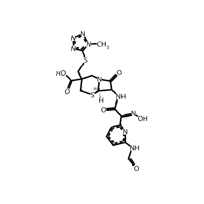 Cn1nnnc1SCC1(C(=O)O)CS[C@@H]2C(NC(=O)C(=NO)c3cccc(NC=O)n3)C(=O)N2C1